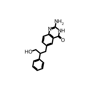 Nc1nc2ccc(CC(CO)c3ccccc3)cc2c(=O)[nH]1